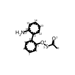 CC(=O)SOc1ccccc1-c1ccccc1N